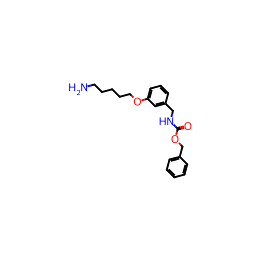 NCCCCCOc1cccc(CNC(=O)OCc2ccccc2)c1